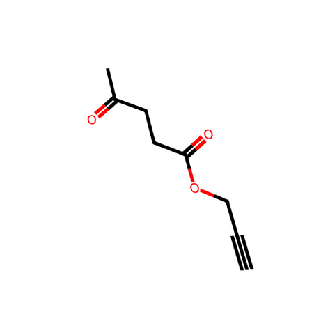 C#CCOC(=O)CCC(C)=O